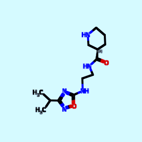 CC(C)c1noc(NCCNC(=O)[C@@H]2CCCNC2)n1